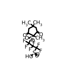 CC1(C)CC(=O)C(C)(S(=O)(=O)C(F)(F)C(F)(F)C(F)(F)S(=O)(=O)O)C(=O)C1